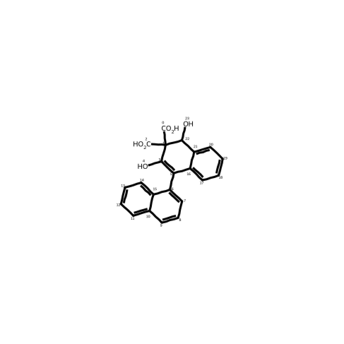 O=C(O)C1(C(=O)O)C(O)=C(c2cccc3ccccc23)c2ccccc2C1O